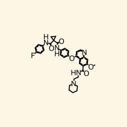 COc1cc2nccc(Oc3ccc(NC(=O)C4(C(=O)Nc5ccc(F)cc5)CC4)cc3)c2cc1C(=O)NCCN1CCCCC1